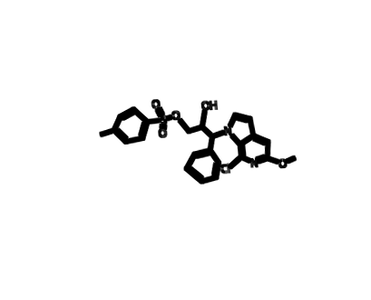 COc1cc2ccn(C(c3ccccc3)C(O)COS(=O)(=O)c3ccc(C)cc3)c2c(Cl)n1